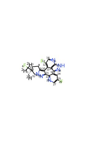 [2H]C[C@]1(C([2H])([2H])F)CCc2c(-c3c(F)cnc4[nH]ncc34)c(-c3ccc(F)cn3)nn2C1